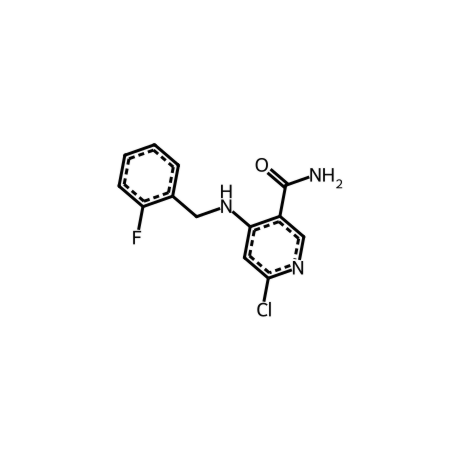 NC(=O)c1cnc(Cl)cc1NCc1ccccc1F